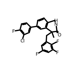 CC1(Cc2cc(F)cc(F)c2F)C(=O)NCc2ccc(-c3ccc(F)c(Cl)c3)cc21